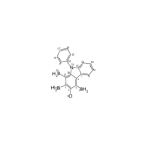 Bc1c(Cl)c(B)c2c3ccccc3n(-c3ccccc3)c2c1B